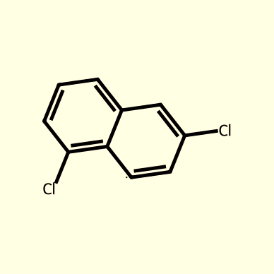 Clc1c[c]c2c(Cl)cccc2c1